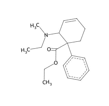 CCOC(=O)C1(c2ccccc2)CCC=CC1N(C)CC